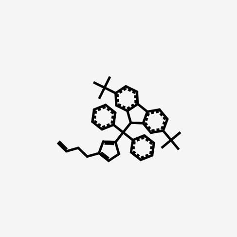 C=CCCC1=CCC(C(c2ccccc2)(c2ccccc2)C2c3cc(C(C)(C)C)ccc3-c3ccc(C(C)(C)C)cc32)=C1